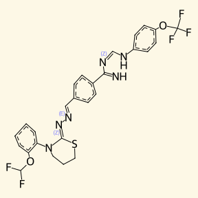 N=C(/N=C\Nc1ccc(OC(F)(F)F)cc1)c1ccc(/C=N/N=C2\SCCCN2c2ccccc2OC(F)F)cc1